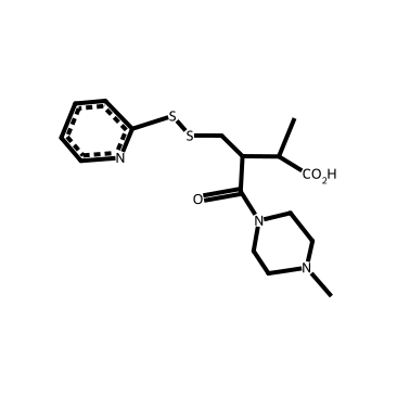 CC(C(=O)O)C(CSSc1ccccn1)C(=O)N1CCN(C)CC1